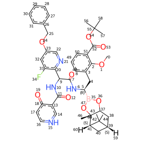 COc1c(C[C@H](NC(=O)C(NC(=O)c2c[nH]ccc2=O)c2ncc(OCc3ccccc3)cc2F)B2OC3C[C@@H]4C[C@@H](C4(C)C)[C@]3(C)O2)cccc1C(=O)OC(C)(C)C